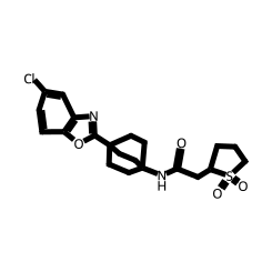 O=C(CC1CCCS1(=O)=O)NC12CCC(c3nc4cc(Cl)ccc4o3)(CC1)CC2